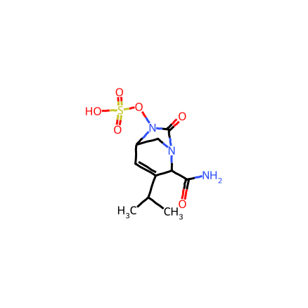 CC(C)C1=CC2CN(C(=O)N2OS(=O)(=O)O)C1C(N)=O